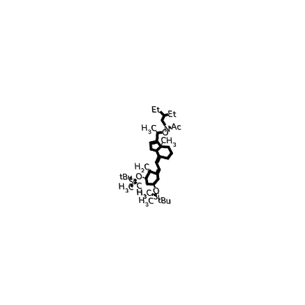 C=C1C(=CC=C2CCC[C@]3(C)C([C@H](C)ON(CC(CC)CC)C(C)=O)=CCC23)C[C@@H](O[Si](C)(C)C(C)(C)C)C[C@@H]1O[Si](C)(C)C(C)(C)C